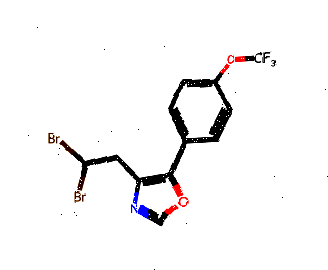 FC(F)(F)Oc1ccc(-c2ocnc2CC(Br)Br)cc1